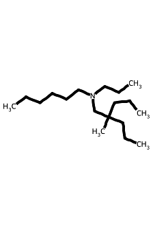 CCCCCCN(CCC)CC(C)(CCC)CCC